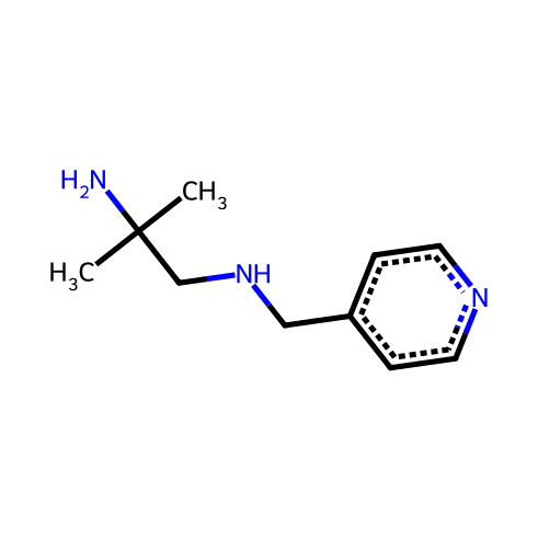 CC(C)(N)CNCc1ccncc1